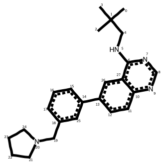 CC(C)(C)CNc1ncnc2ccc(-c3cccc(CN4CCCC4)c3)cc12